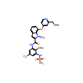 CNCc1cc(Oc2cccc3cc(C(=O)Nc4cc(C(F)(F)F)cc(NS(C)(=O)=O)c4OC)n(C)c23)ccn1